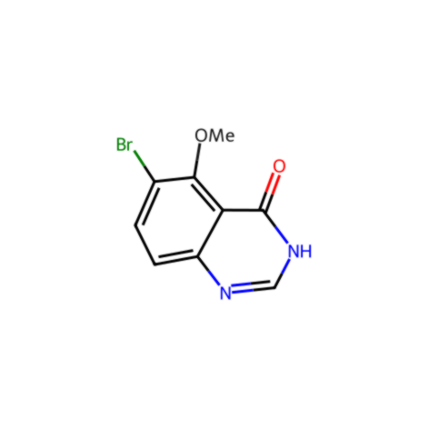 COc1c(Br)ccc2nc[nH]c(=O)c12